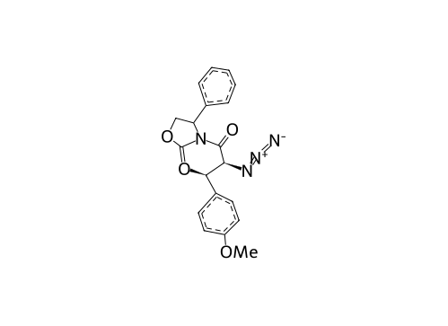 COc1ccc([C@@H](C)[C@H](N=[N+]=[N-])C(=O)N2C(=O)OCC2c2ccccc2)cc1